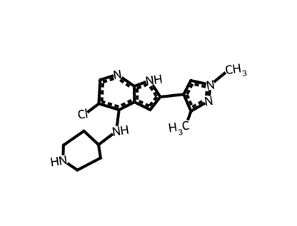 Cc1nn(C)cc1-c1cc2c(NC3CCNCC3)c(Cl)cnc2[nH]1